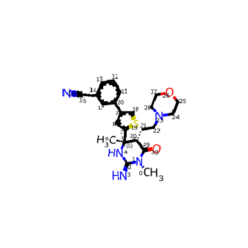 CN1C(=N)N[C@](C)(c2cc(-c3cccc(C#N)c3)cs2)[C@H](CCN2CCOCC2)C1=O